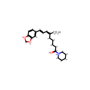 O=C(O)/C(=C/C=Cc1ccc2c(c1)OCO2)CCCCC(=O)N1CCCCC1